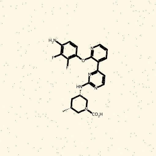 C[C@@H]1C[C@H](Nc2nccc(-c3cccnc3Oc3ccc(N)c(F)c3F)n2)CN(C(=O)O)C1